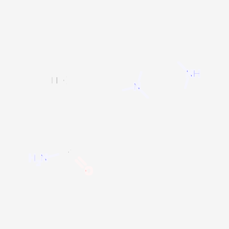 CCC(C=CC(N)=O)N1CCNCC1